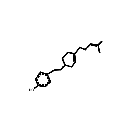 CC(C)=CCCC1=CCC(CCc2ccc(O)cc2)CC1